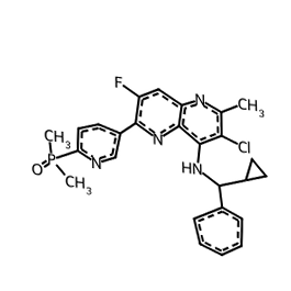 Cc1nc2cc(F)c(-c3ccc(P(C)(C)=O)nc3)nc2c(NC(c2ccccc2)C2CC2)c1Cl